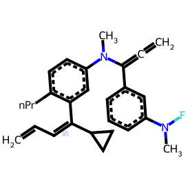 C=C=C(c1cccc(N(C)F)c1)N(C)c1ccc(CCC)c(/C(=C\C=C)C2CC2)c1